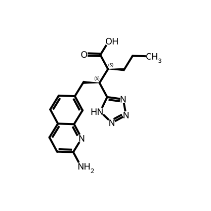 CCC[C@H](C(=O)O)[C@H](Cc1ccc2ccc(N)nc2c1)c1nnn[nH]1